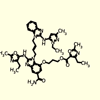 CCc1nc(C)oc1Nc1nc2cc(C(N)=O)cc(OCCCOC(=O)c3oc(C)nc3CC)c2n1C/C=C/Cn1c(Nc2cc(C)nn2CC)nc2ccccc21